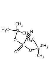 C[Si](C)(C)OP(=O)(C#N)O[Si](C)(C)C